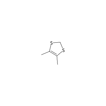 CC1=C(C)SCS1